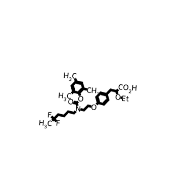 CCOC(Cc1ccc(OCCN(CCCCC(C)(F)F)C(=O)Oc2c(C)cc(C)cc2C)cc1)C(=O)O